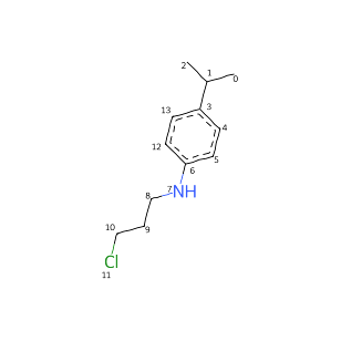 CC(C)c1ccc(NCCCCl)cc1